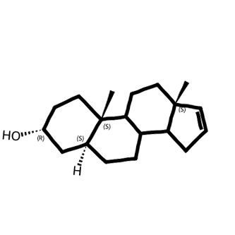 C[C@@]12C=CCC1C1CC[C@H]3C[C@H](O)CC[C@]3(C)C1CC2